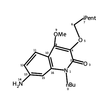 CCCCn1c(=O)c(OCC(C)CCC)c(OC)c2ccc(N)cc21